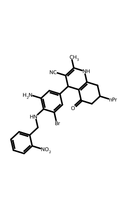 CCCC1CC(=O)C2=C(C1)NC(C)=C(C#N)C2c1cc(N)c(NCc2ccccc2[N+](=O)[O-])c(Br)c1